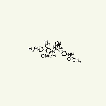 C=CC(=O)Nc1cccc(Sc2nc(Nc3cc(C)c(C4CCN(C)CC4)cc3OC)nc3ccnn23)c1